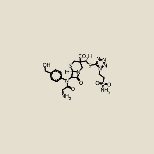 NCC(=O)N(c1ccc(CO)cc1)C1C(=O)N2CC(CSc3nnnn3CCS(N)(=O)=O)(C(=O)O)CS[C@H]12